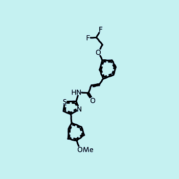 COc1ccc(-c2csc(NC(=O)C=Cc3cccc(OCC(F)F)c3)n2)cc1